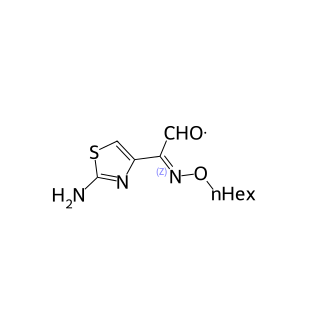 CCCCCCO/N=C(\[C]=O)c1csc(N)n1